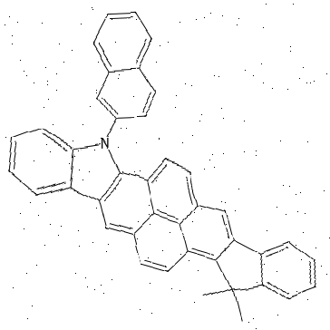 CC1(C)c2ccccc2-c2cc3ccc4c5c(ccc(c21)c35)cc1c2ccccc2n(-c2ccc3ccccc3c2)c14